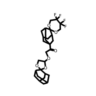 O=C(COC1COC2(O1)C1CC3CC(C1)CC2C3)C12CC3CC(C1)C1(OCC(F)(F)C(F)(F)CO1)C(C3)C2